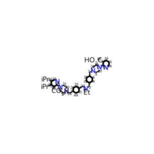 CCN(Cc1ccc(CN2CCN(c3ncccc3C(=O)O)CC2)cc1)Cc1ccc(CN2CCN(c3ncc(C(C)C)c(C(C)C)c3C(=O)O)CC2)cc1